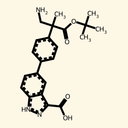 CC(C)(C)OC(=O)C(C)(CN)c1ccc(-c2ccc3[nH]nc(C(=O)O)c3c2)cc1